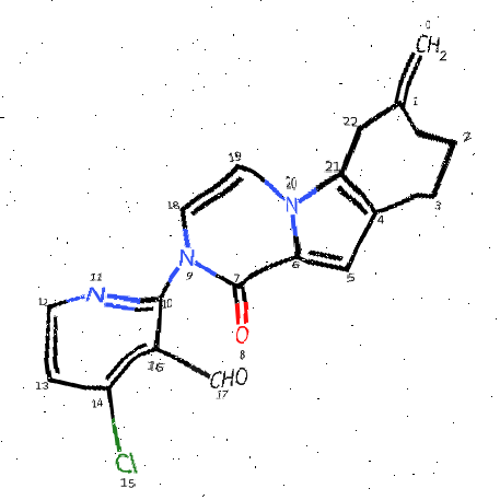 C=C1CCc2cc3c(=O)n(-c4nccc(Cl)c4C=O)ccn3c2C1